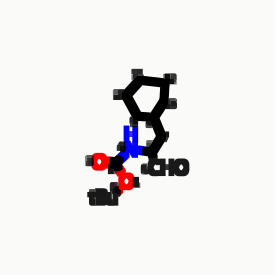 CC(C)(C)OC(=O)NC(C=O)CC1CCCCC1